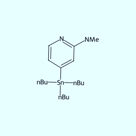 CCC[CH2][Sn]([CH2]CCC)([CH2]CCC)[c]1ccnc(NC)c1